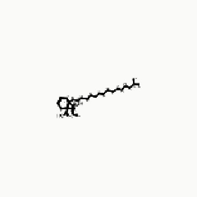 CCCC1(C(=O)O)CC=CCC1(CCCCCCCCCCCCCCC(C)C)C(=O)O